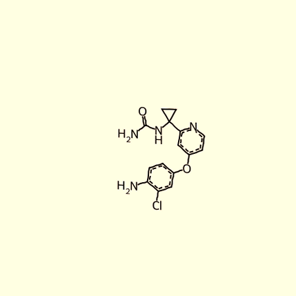 NC(=O)NC1(c2cc(Oc3ccc(N)c(Cl)c3)ccn2)CC1